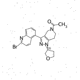 CC(=O)N1CCc2c(c(-c3cccc4nc(Br)ccc34)nn2[C@H]2CCOC2)C1